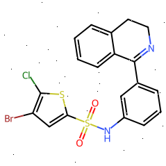 O=S(=O)(Nc1cccc(C2=NCCc3ccccc32)c1)c1cc(Br)c(Cl)s1